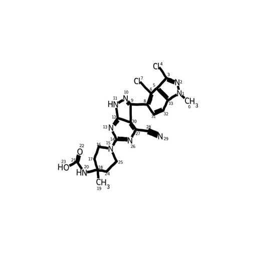 Cn1nc(Cl)c2c(Cl)c(-c3n[nH]c4nc(N5CCC(C)(NC(=O)O)CC5)nc(C#N)c34)ccc21